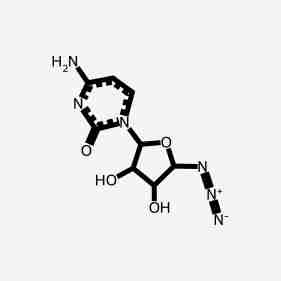 [N-]=[N+]=NC1OC(n2ccc(N)nc2=O)C(O)C1O